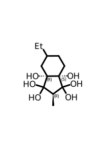 CCC1CC[C@@]2(O)C(O)(O)[C@@H](C)C(O)(O)[C@@]2(O)C1